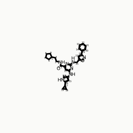 O=C(NCCC1CCCC1)c1cc(Nc2cc(C3CC3)[nH]n2)nc(NCc2cc(-c3ccccc3)no2)n1